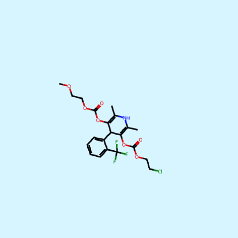 COCCOC(=O)OC1=C(C)NC(C)=C(OC(=O)OCCCl)C1c1ccccc1C(F)(F)F